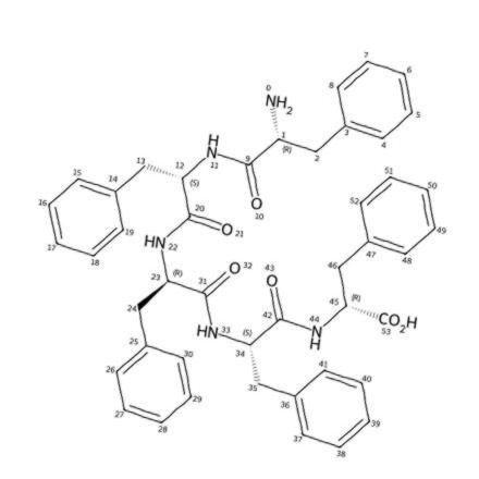 N[C@H](Cc1ccccc1)C(=O)N[C@@H](Cc1ccccc1)C(=O)N[C@H](Cc1ccccc1)C(=O)N[C@@H](Cc1ccccc1)C(=O)N[C@H](Cc1ccccc1)C(=O)O